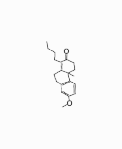 CCCCC1=C2CCc3cc(OC)ccc3C2(C)CCC1=O